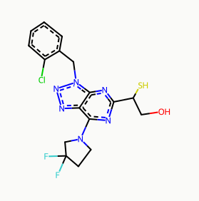 OCC(S)c1nc(N2CCC(F)(F)C2)c2nnn(Cc3ccccc3Cl)c2n1